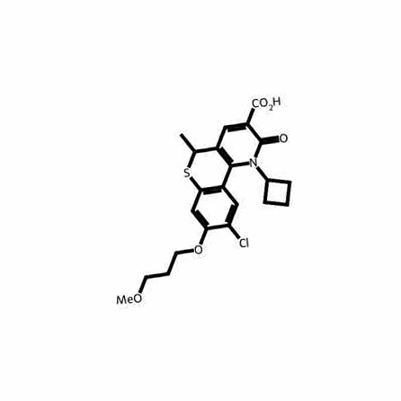 COCCCOc1cc2c(cc1Cl)-c1c(cc(C(=O)O)c(=O)n1C1CCC1)C(C)S2